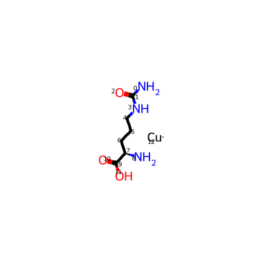 NC(=O)NCCC[C@@H](N)C(=O)O.[Cu]